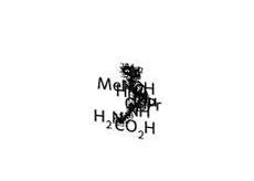 CN[C@H](C(O)N[C@H](C(=O)N(C)[C@H](/C=C(\C)C(=O)NCCCC[C@@H](N)C(=O)O)C(C)C)C(C)(C)C)C(C)(C)c1cn(C)c2ccccc12